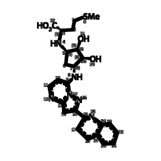 CSCC[C@H](N[C@@H]1C[C@@H](Nc2ccnc3cc(-c4ccc5ccccc5n4)nn23)[C@H](O)[C@@H]1O)C(=O)O